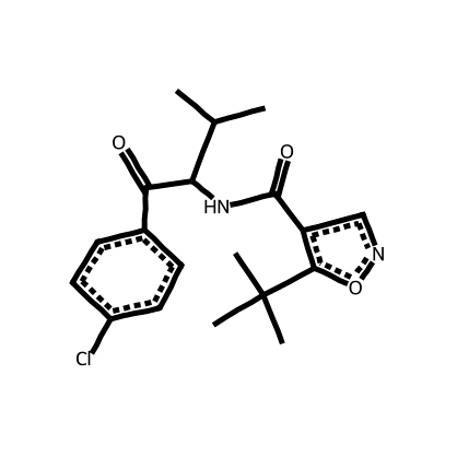 CC(C)C(NC(=O)c1cnoc1C(C)(C)C)C(=O)c1ccc(Cl)cc1